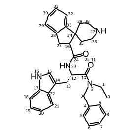 CCN(Cc1ccccc1)C(=O)[C@H](Cc1c[nH]c2ccccc12)NC(=O)C1Cc2ccccc2C12CCNCC2